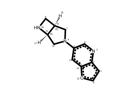 c1cc2ncc(N3C[C@@H]4CN[C@@H]4C3)cc2o1